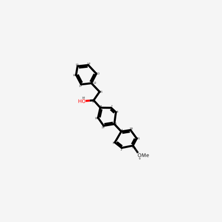 COc1ccc(-c2ccc(C(O)Cc3ccccc3)cc2)cc1